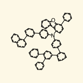 c1ccc(-c2ccc(-c3ccccc3-c3ccc(N(c4ccc(-c5cccc(-c6cccc7ccccc67)c5)cc4)c4ccc(-c5ccccc5)c5oc6ccccc6c45)cc3)cc2-c2ccccc2)cc1